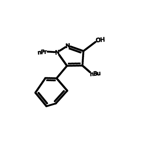 CCCCc1c(O)nn(CCC)c1-c1ccccc1